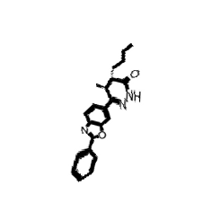 CCCC[C@@H]1C(=O)NN=C(c2ccc3nc(-c4ccccc4)oc3c2)[C@H]1C